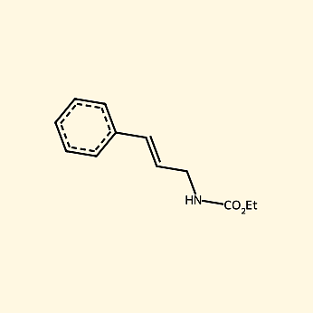 CCOC(=O)NC/C=C/c1ccccc1